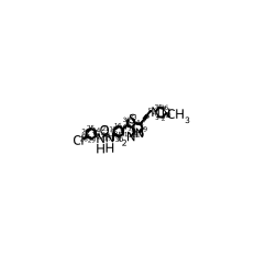 CN1CCN(CC#Cc2cnc(N)c3c(-c4ccc(NC(=O)Nc5cccc(Cl)c5)cc4)csc23)CC1